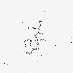 CC(C)C[C@H](N)C(=O)N=S(N)(=O)c1ccsc1C(N)=O